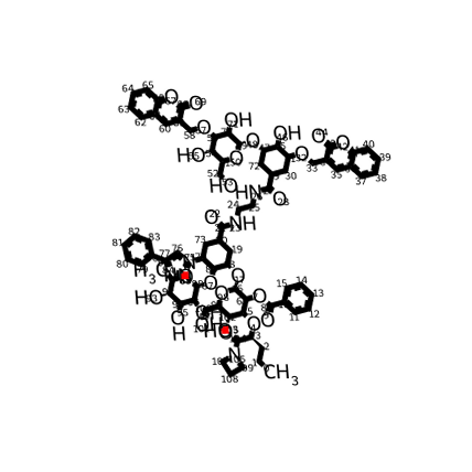 CCC[C@H](OC1C(OC(=O)c2ccccc2)[C@H](O[C@@H]2CC(C(=O)NCCNC(=O)C3CC(OCc4cc5ccccc5oc4=O)C(O)[C@H](O[C@@H]4OC(CO)[C@H](O)C(OCc5cc6ccccc6oc5=O)C4O)C3)CC(n3cc(-c4ccccc4)nn3)C2O[C@@H]2OC(C)[C@@H](O)C(O)C2O)OC(CO)[C@@H]1O)C(=O)N1CCC1